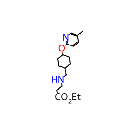 CCOC(=O)CCNC[C@H]1CC[C@H](Oc2ccc(C)cn2)CC1